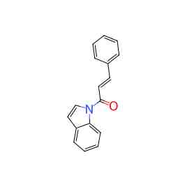 O=C(C=Cc1ccccc1)n1ccc2ccccc21